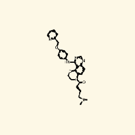 CN(C)C/C=C/C(=O)N1CCOc2c1ccc1ncnc(Nc3ccc(OCc4ccccn4)cc3)c21